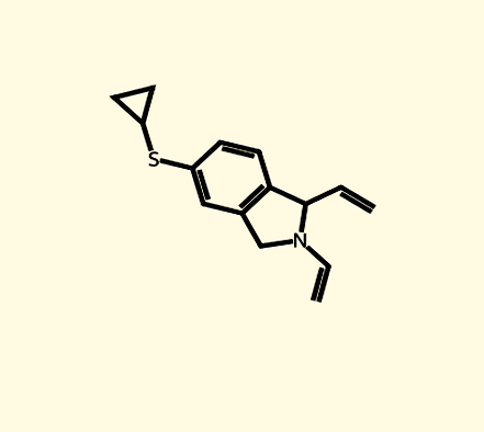 C=CC1c2ccc(SC3CC3)cc2CN1C=C